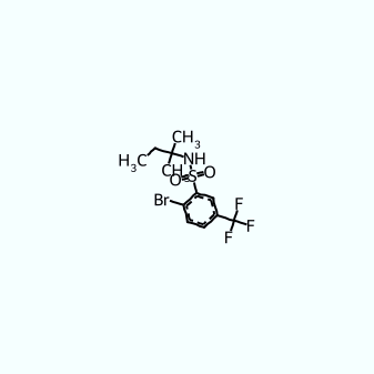 CCC(C)(C)NS(=O)(=O)c1cc(C(F)(F)F)ccc1Br